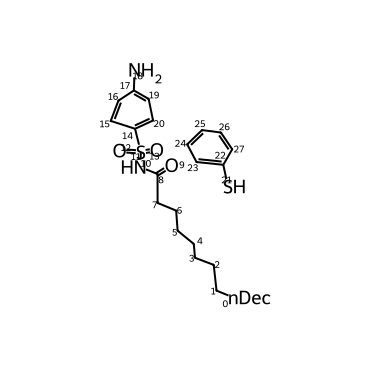 CCCCCCCCCCCCCCCCCC(=O)NS(=O)(=O)c1ccc(N)cc1.Sc1ccccc1